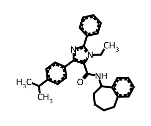 CCn1c(-c2ccccc2)nc(-c2ccc(C(C)C)cc2)c1C(=O)NC1CCCCc2ccccc21